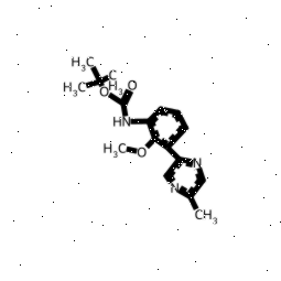 COc1c(NC(=O)OC(C)(C)C)cccc1-c1cnc(C)cn1